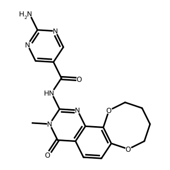 Cn1c(NC(=O)c2cnc(N)nc2)nc2c3c(ccc2c1=O)OCCCCO3